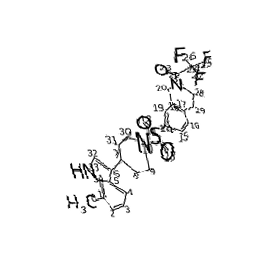 Cc1cccc2c(C3CCN(S(=O)(=O)c4ccc5c(c4)CN(C(=O)C(F)(F)F)CC5)CC3)c[nH]c12